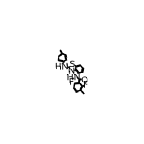 Cc1ccc(Nc2nc3c(NC(=O)c4c(F)ccc(C)c4F)cccc3s2)cc1